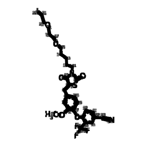 COc1cc(/C=C2\SC(=O)N(CCCCCOCCOCCI)C2=O)ccc1Oc1ccc(C#N)cc1C(F)(F)F